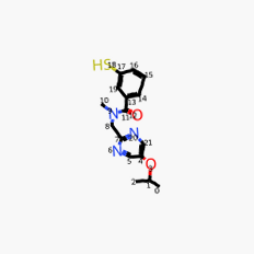 CC(C)Oc1cnc(CN(C)C(=O)c2cccc(S)c2)nc1